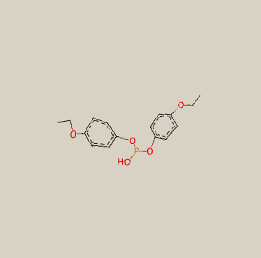 CCOc1ccc(OP(O)Oc2ccc(OCC)cc2)cc1